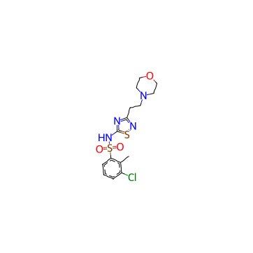 Cc1c(Cl)cccc1S(=O)(=O)Nc1nc(CCN2CCOCC2)ns1